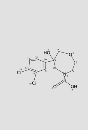 O=C(O)N1CCOCC(O)(c2ccc(Cl)c(Cl)c2)C1